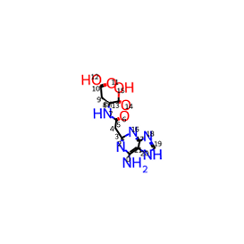 Nc1nc(CC(=O)N[C@@H](CC(=O)O)C(=O)O)nc2nc[nH]c12